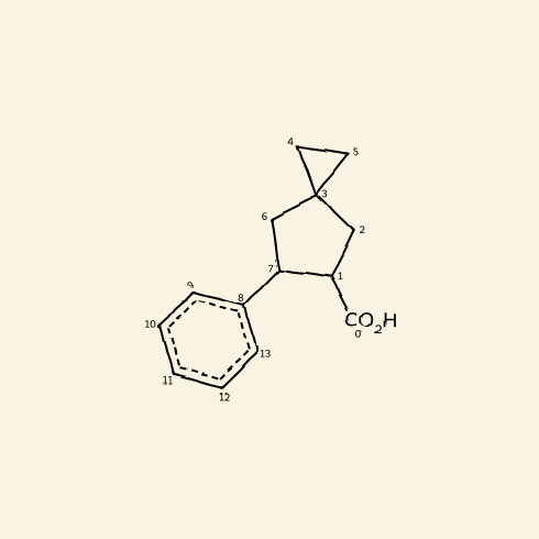 O=C(O)C1CC2(CC2)CC1c1ccccc1